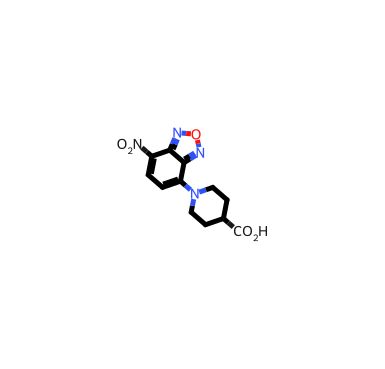 O=C(O)C1CCN(c2ccc([N+](=O)[O-])c3nonc23)CC1